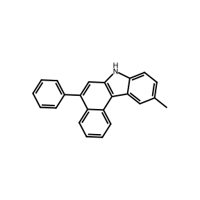 Cc1ccc2[nH]c3cc(-c4ccccc4)c4ccccc4c3c2c1